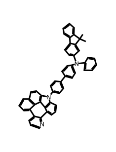 CC1(C)c2ccccc2-c2ccc(N(c3ccccc3)c3ccc(-c4ccc(-n5c6cccc7c6c6c8c(cccc8ccc65)-c5cccnc5-7)cc4)cc3)cc21